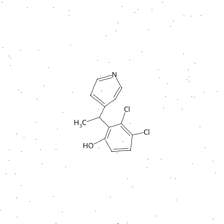 CC(c1ccncc1)c1c(O)ccc(Cl)c1Cl